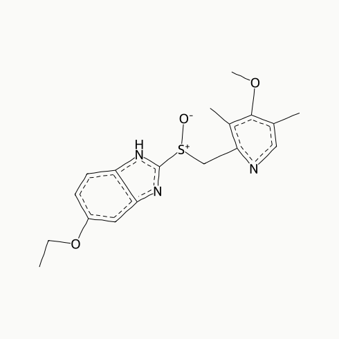 CCOc1ccc2[nH]c([S+]([O-])Cc3ncc(C)c(OC)c3C)nc2c1